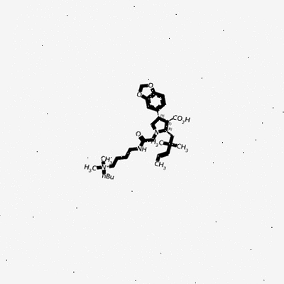 CC=CC(C)(C)C[C@@H]1[C@@H](C(=O)O)[C@@H](c2ccc3c(c2)OCO3)CN1CC(=O)NCCCC[N+](C)(C)CCCC